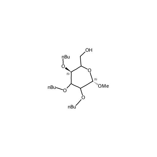 CCCCOC1C(OCCCC)[C@@H](OCCCC)C(CO)O[C@@H]1OC